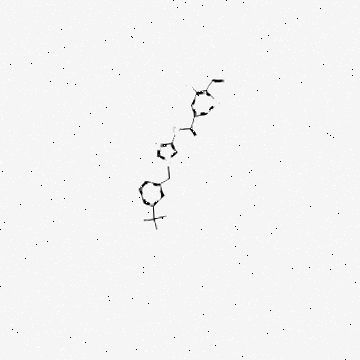 C=Cc1ncc(C(=O)Nc2cn(Cc3cccc(C(F)(F)F)c3)cn2)cc1Br